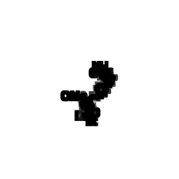 CCN(CC)C(=O)c1ccc(OC)c(CCN2CCC(n3ccc4ccc(C(N)=O)cc43)CC2)c1